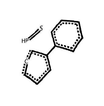 P=S.c1ccc(-c2ccccc2)cc1